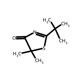 CC(C)(C)C1=NC(=O)C(C)(C)S1